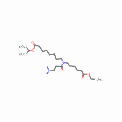 CCCCCCCCCCCOC(=O)CCCCCN(CCCCCCCC(=O)OC(CCCCCCCC)CCCCCCCC)C(=O)CCN(C)C